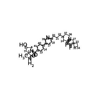 C[C@@]1(C(N)=O)C[C@@H](O)CN1C(=O)c1ccc(-c2ccc(CCCC3CCN(CC4(C(F)(F)F)CCC4)CC3)nc2)cc1